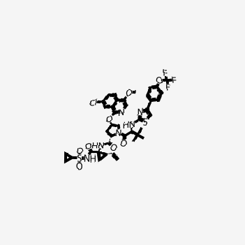 C=C[C@@H]1C[C@]1(NC(=O)[C@@H]1C[C@@H](Oc2ncc(OC)c3ccc(Cl)cc23)CN1C(=O)[C@@H](Nc1nc(-c2ccc(OC(F)(F)F)cc2)cs1)C(C)(C)C)C(=O)NS(=O)(=O)C1CC1